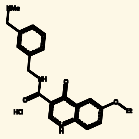 CCOc1ccc2[nH]cc(C(=O)NCc3cccc(CNC)c3)c(=O)c2c1.Cl